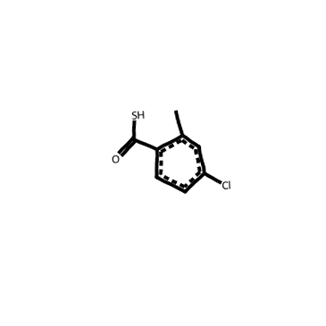 Cc1cc(Cl)ccc1C(=O)S